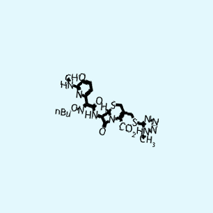 CCCCON=C(C(=O)NC1C(=O)N2C(C(=O)O)=C(CSc3nnnn3C)CS[C@@H]12)c1cccc(NC=O)n1